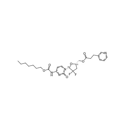 CCCCCCCOC(=O)Nc1ccn([C@@H]2O[C@H](COC(=O)CCc3cccnc3)CC2(F)F)c(=O)n1